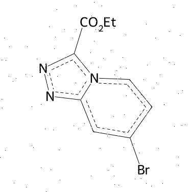 CCOC(=O)c1nnc2cc(Br)ccn12